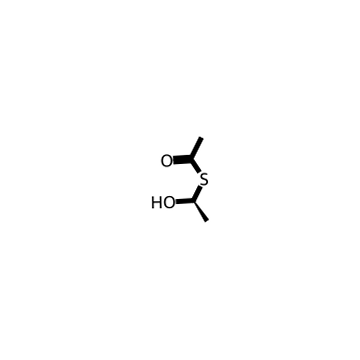 CC(=O)S[C@@H](C)O